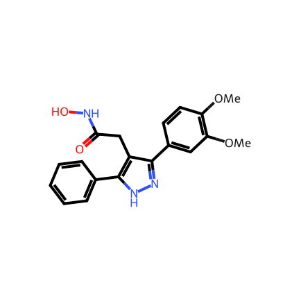 COc1ccc(-c2n[nH]c(-c3ccccc3)c2CC(=O)NO)cc1OC